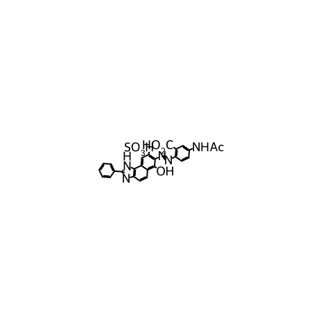 CC(=O)Nc1ccc(/N=N/c2c(S(=O)(=O)O)cc3c(ccc4nc(-c5ccccc5)[nH]c43)c2O)c(C(=O)O)c1